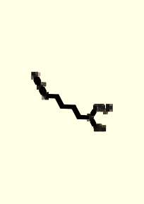 CC(C)(C)N(CCCCN=[N+]=[N-])C(=O)O